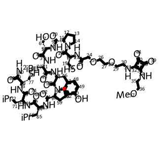 CC[C@H](C)[C@H](NC(=O)[C@H](CO)NC(=O)[C@@H]1CCCN1C(=O)[C@H](CS)NC(=O)COCCOCCNc1c(NCCOC)c(=O)c1=O)C(=O)N[C@@H](Cc1ccc(O)cc1)C(=O)N1CCC[C@H]1C(=O)N[C@@H](CC(C)C)C(=O)N[C@@H](CC(C)C)C(=O)N[C@@H](CS)C(N)=O